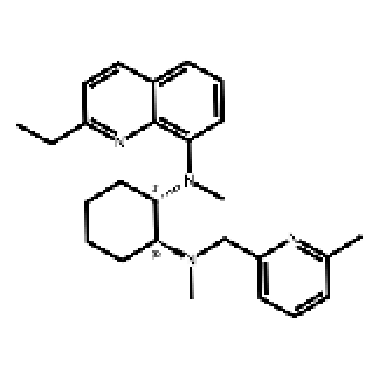 CCc1ccc2cccc(N(C)[C@H]3CCCC[C@@H]3N(C)Cc3cccc(C)n3)c2n1